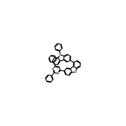 c1ccc(-c2cc(-c3ccc4oc5cccc(-c6ccc7c(c6)c6ccccc6n7-c6ccccc6)c5c4c3)nc(-c3ccccc3)n2)cc1